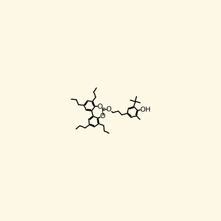 CCCc1cc(CCC)c2op(OCCCc3cc(C)c(O)c(C(C)(C)C)c3)oc3c(CCC)cc(CCC)cc3c2c1